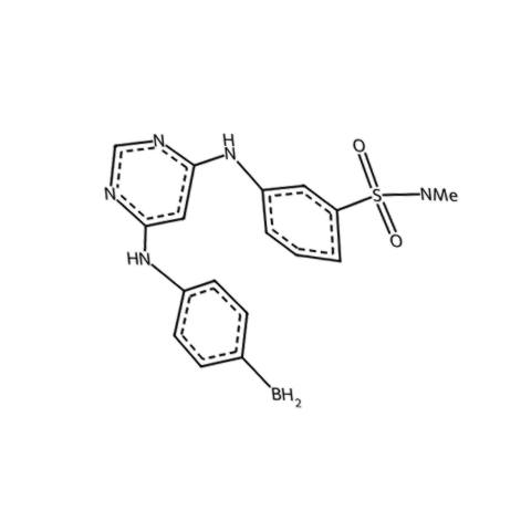 Bc1ccc(Nc2cc(Nc3cccc(S(=O)(=O)NC)c3)ncn2)cc1